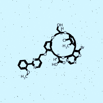 COc1ccccc1-c1nccc(COc2ccc3cc2C[C@H](C(=O)O)Oc2ncnc4oc(Br)c(c24)-c2ccc(c(Cl)c2C)O[C@H](CO)CO3)n1